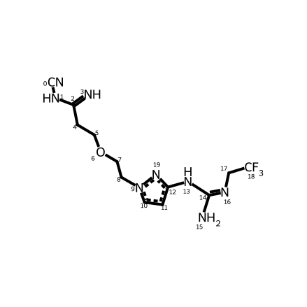 N#CNC(=N)CCOCCn1ccc(N/C(N)=N\CC(F)(F)F)n1